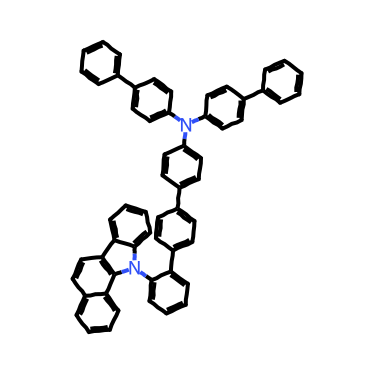 c1ccc(-c2ccc(N(c3ccc(-c4ccccc4)cc3)c3ccc(-c4ccc(-c5ccccc5-n5c6ccccc6c6ccc7ccccc7c65)cc4)cc3)cc2)cc1